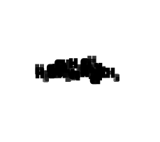 COc1nn(CCCN2CCN(CCCON(C)C(=O)OC(C)(C)C)CC2)cc1Nc1nc(Cl)nc2c1ncn2C